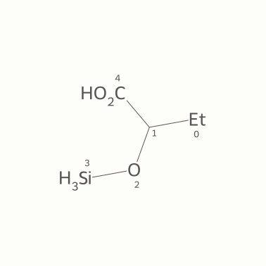 CCC(O[SiH3])C(=O)O